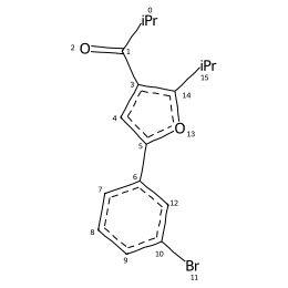 CC(C)C(=O)c1cc(-c2cccc(Br)c2)oc1C(C)C